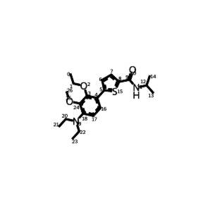 CCOc1c(-c2ccc(C(=O)NC(C)C)s2)ccc(N(CC)CC)c1OC